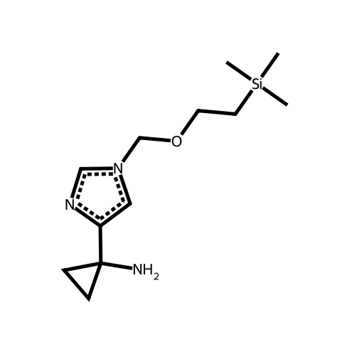 C[Si](C)(C)CCOCn1cnc(C2(N)CC2)c1